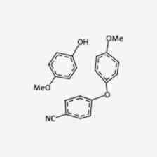 COc1ccc(O)cc1.COc1ccc(Oc2ccc(C#N)cc2)cc1